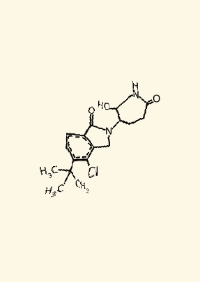 CC(C)(C)c1ccc2c(c1Cl)CN(C1CCC(=O)NC1O)C2=O